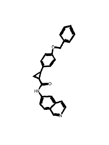 O=C(Nc1ccc2cnccc2c1)C1CC1c1ccc(OCc2ccccc2)cc1